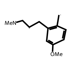 [CH2]c1ccc(OC)cc1C[CH]CNC